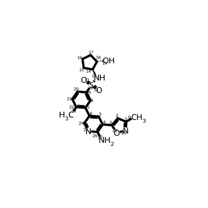 Cc1cc(-c2cc(-c3cc(S(=O)(=O)N[C@H]4CCC[C@@H]4O)ccc3C)cnc2N)on1